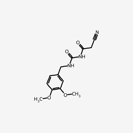 COc1ccc(CNC(=O)NC(=O)CC#N)cc1OC